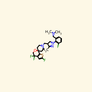 CC1=NN(c2c(F)cccc2CN(C)C)CC1CN1CCC2(CC1)OCC(F)(F)c1cc(F)sc12